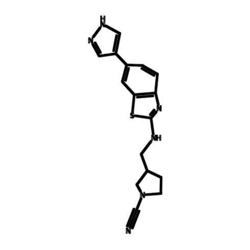 N#CN1CCC(CNc2nc3ccc(-c4cn[nH]c4)cc3s2)C1